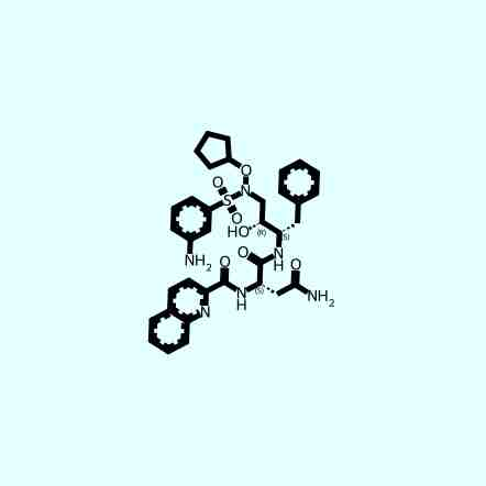 NC(=O)C[C@H](NC(=O)c1ccc2ccccc2n1)C(=O)N[C@@H](Cc1ccccc1)[C@H](O)CN(OC1CCCC1)S(=O)(=O)c1cccc(N)c1